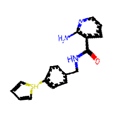 Nc1ncccc1C(=O)NCc1ccc([SH]2C=CC=C2)cc1